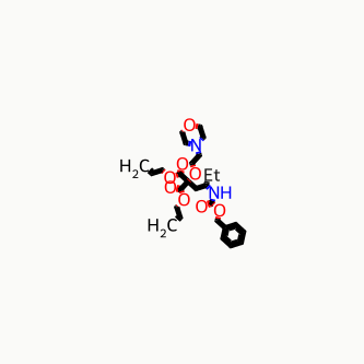 C=CCOC(=O)C(CC(CC)NC(=O)OCc1ccccc1)(OCCN1CCOCC1)C(=O)OCC=C